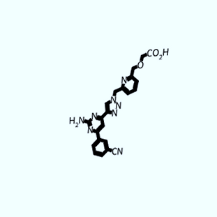 N#Cc1cccc(-c2cc(-c3cn(Cc4cccc(COCC(=O)O)n4)nn3)nc(N)n2)c1